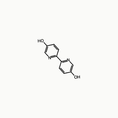 Oc1ccc(-c2ccc(O)cn2)nc1